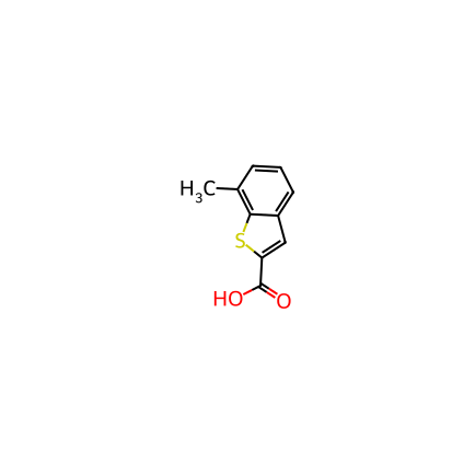 Cc1cccc2cc(C(=O)O)sc12